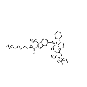 CCOCCCOC(=O)c1cc2cc(NC(=O)[C@@H]3[C@H](C4CCCCC4)CCN3C(=O)OC(C)(C)C)ccc2n1C